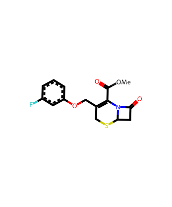 COC(=O)C1=C(COc2cccc(F)c2)CSC2CC(=O)N12